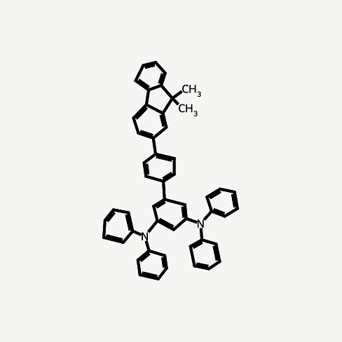 CC1(C)c2ccccc2-c2ccc(-c3ccc(-c4cc(N(c5ccccc5)c5ccccc5)cc(N(c5ccccc5)c5ccccc5)c4)cc3)cc21